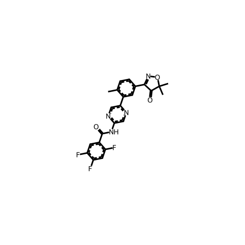 Cc1ccc(C2=NOC(C)(C)C2=O)cc1-c1cnc(NC(=O)c2cc(F)c(F)cc2F)cn1